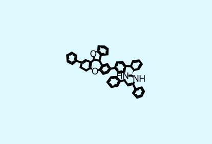 C1=CC(c2ccc(-c3ccc4c(c3)C3c5ccccc5OC3C3=C(CCC(c5ccccc5)=C3)O4)cc2)C([C@@H]2NC(c3ccccc3)=CC(c3ccccc3)N2)C=C1